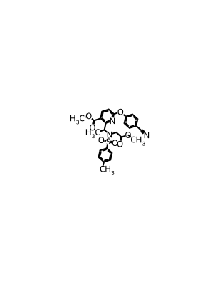 COC(=O)CN(C(C)c1nc(Oc2ccc(C#N)cc2)ccc1C(=O)OC)S(=O)(=O)c1ccc(C)cc1